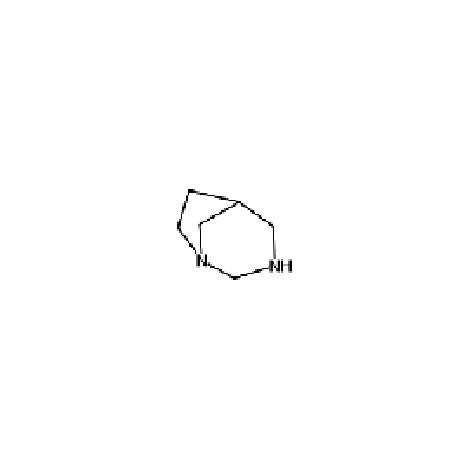 C1CN2CNCC1C2